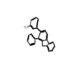 Nc1cccc(-c2ccc3c(c2-c2ccccc2)Cc2ccccc2-3)c1